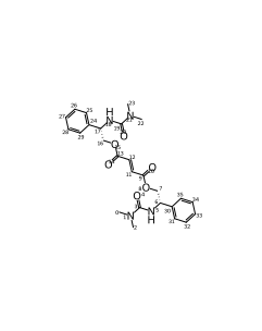 CN(C)C(=O)N[C@H](COC(=O)/C=C/C(=O)OC[C@@H](NC(=O)N(C)C)c1ccccc1)c1ccccc1